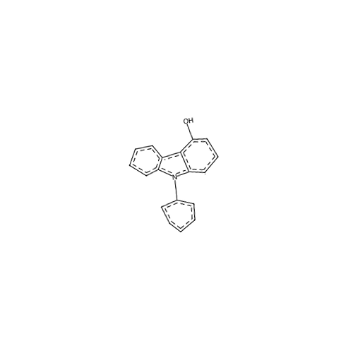 Oc1cc[c]c2c1c1ccccc1n2-c1ccccc1